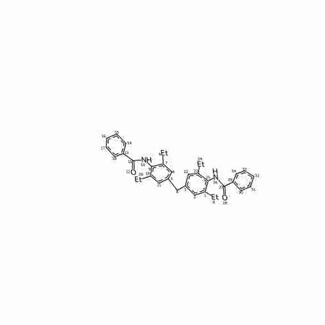 CCc1cc(Cc2cc(CC)c(NC(=O)c3ccccc3)c(CC)c2)cc(CC)c1NC(=O)c1ccccc1